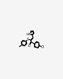 Cc1ccc(SC(=Cc2ccc[nH]2)C(=O)c2ccc(Cl)cc2)cc1